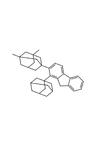 CC12CC3CC(C)(C1)CC(c1ccc4c(c1C15CC6CC(CC(C6)C1)C5)Cc1ccccc1-4)(C3)C2